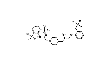 [2H]C([2H])([2H])Oc1ccccc1OCC(O)CN1CCN(CC(=O)Nc2c(C([2H])([2H])[2H])cccc2C([2H])([2H])[2H])CC1